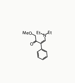 CCN(C=C(C(=O)COC)c1ccccc1)CC